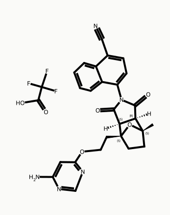 C[C@@]12CC[C@@](CCOc3cc(N)ncn3)(O1)[C@H]1C(=O)N(c3ccc(C#N)c4ccccc34)C(=O)[C@H]12.O=C(O)C(F)(F)F